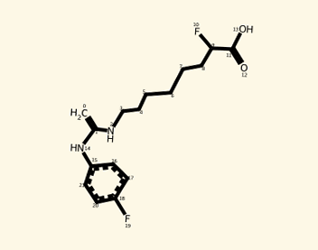 C=C(NCCCCCCC(F)C(=O)O)Nc1ccc(F)cc1